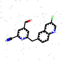 N#Cc1cc(C=O)cc(Cc2ccc3ncc(Cl)cc3c2)n1